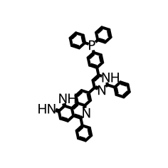 N=C1C=Cc2c(-c3ccccc3)nc3cc(C4=NC(c5ccccc5)NC(c5ccc(P(c6ccccc6)c6ccccc6)cc5)=C4)ccc3c2C1=N